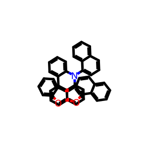 c1ccc(N(c2cccc3ccccc23)c2cccc3oc4ccccc4c23)c(-c2cccc3oc4c5ccccc5ccc4c23)c1